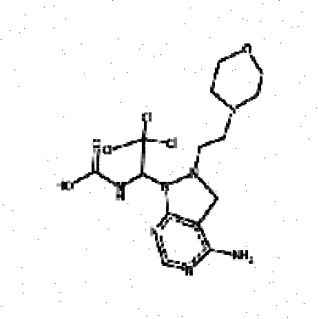 Nc1ncnc2c1CN(CCN1CCOCC1)N2C(NC(=O)O)C(Cl)(Cl)Cl